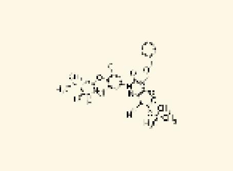 CC(C)c1cc(Oc2c(Cl)cc(-n3nc(C(C#N)C(=O)OC(C)(C)C)c(=O)n(COCc4ccccc4)c3=O)cc2Cl)n[nH]c1=O